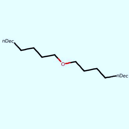 CCCCCCCCCCCCCCOCCCCCCCCCCCCCC